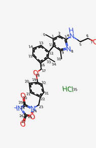 Cc1cc(NCCO)nc(C)c1-c1cccc(COc2ccc(Cn3oc(=O)[nH]c3=O)cc2)c1C.Cl